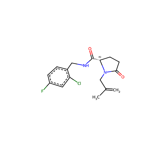 C=C(C)CN1C(=O)CC[C@H]1C(=O)NCc1ccc(F)cc1Cl